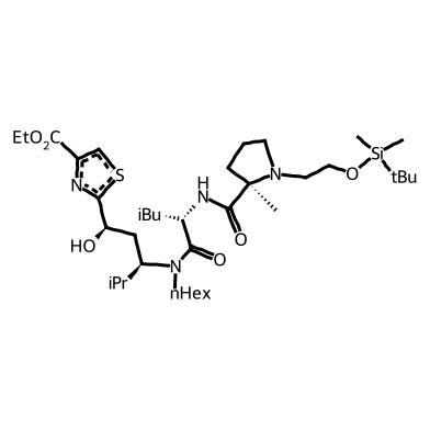 CCCCCCN(C(=O)[C@@H](NC(=O)[C@@]1(C)CCCN1CCO[Si](C)(C)C(C)(C)C)[C@@H](C)CC)[C@H](C[C@@H](O)c1nc(C(=O)OCC)cs1)C(C)C